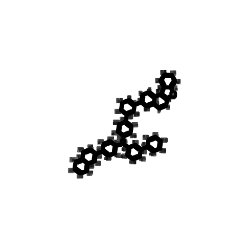 C1=C(c2ccc3c(ccc4oc5ccccc5c43)c2)C=C(c2ccc(N(c3ccc(-c4ccc5ccccc5c4)cc3)c3cccc(-c4ccccc4)c3)cc2)CC1